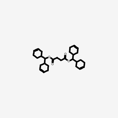 O=C(CCC(=O)OC(C1CC=CCC1)C1CC=CCC1)OC(C1CC=CCC1)C1CC=CCC1